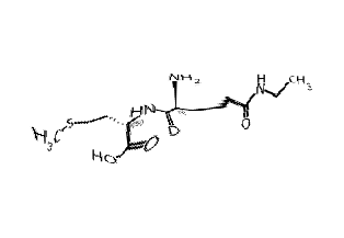 CCNC(=O)CC[C@H](N)C(=O)N[C@@H](CCSC)C(=O)O